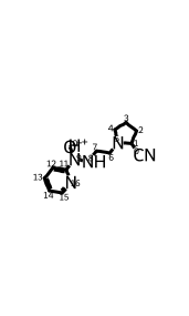 N#CC1CCCN1CCN[NH+]([O-])c1ccccn1